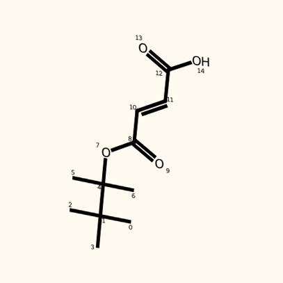 CC(C)(C)C(C)(C)OC(=O)/C=C/C(=O)O